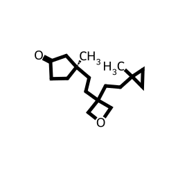 CC1(CCC2(CC[C@@]3(C)CCC(=O)C3)COC2)CC1